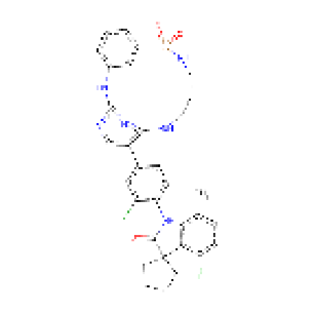 Cc1ccc(F)c(C2(C(=O)Nc3ccc(-c4cnc5nc4NCCCNS(=O)(=O)c4cccc(c4)N5)cc3F)CCCC2)c1